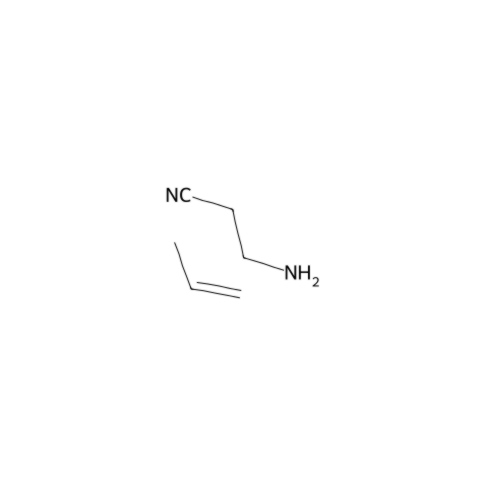 C=CC.N#CCCN